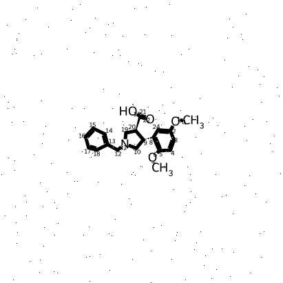 COc1ccc(OC)c([C@@H]2CN(Cc3ccccc3)C[C@H]2C(=O)O)c1